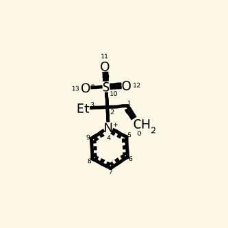 C=CC(CC)([n+]1ccccc1)S(=O)(=O)[O-]